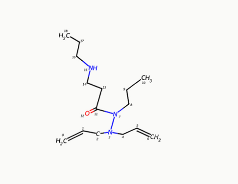 C=CCN(CC=C)N(CCC)C(=O)CCNCCC